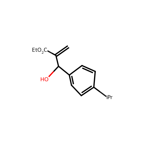 C=C(C(=O)OCC)C(O)c1ccc(C(C)C)cc1